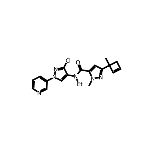 CCN(C(=O)c1cc(C2(C)C=CC2)nn1C)c1cn(-c2cccnc2)nc1Cl